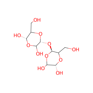 OCC1O[C@H](O)C(O)O[C@H]1O[C@H]1OC(CO)[C@@H](O)OC1O